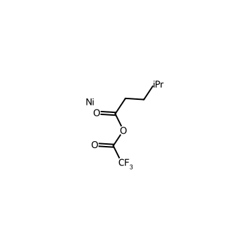 CC(C)CCC(=O)OC(=O)C(F)(F)F.[Ni]